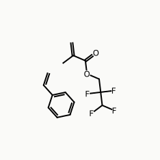 C=C(C)C(=O)OCC(F)(F)C(F)F.C=Cc1ccccc1